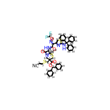 N#CC=CSCC1(C(=O)OC(c2ccccc2)c2ccccc2)CS[C@@H]2C(NC(=O)C(=NOC(F)F)c3csc(NC(c4ccccc4)(c4ccccc4)c4ccccc4)n3)C(=O)N2C1